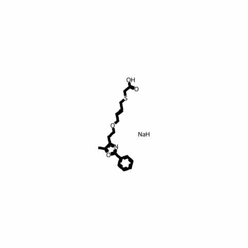 Cc1oc(-c2ccccc2)nc1CCOCC=CCSCC(=O)O.[NaH]